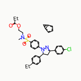 CCC(=O)OCCN(C)S(=O)(=O)c1ccc(N2N=C(c3ccc(Cl)cc3)CC2c2ccc(CC)cc2)cc1.c1cc2cc-2c1